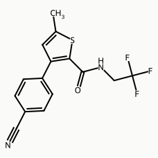 Cc1cc(-c2ccc(C#N)cc2)c(C(=O)NCC(F)(F)F)s1